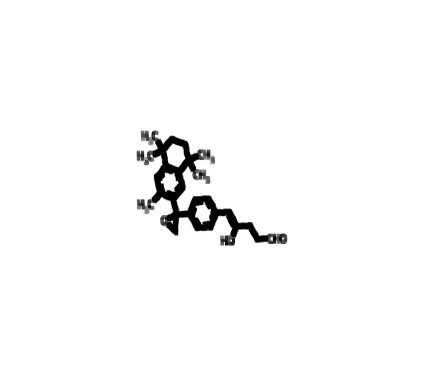 Cc1cc2c(cc1C1(c3ccc(/C=C(\O)CCC=O)cc3)CO1)C(C)(C)CCC2(C)C